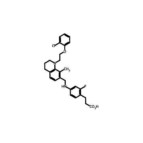 Cc1c(CNc2ccc(CCC(=O)O)c(F)c2)ccc2c1N(CCOc1ccccc1Cl)CCC2